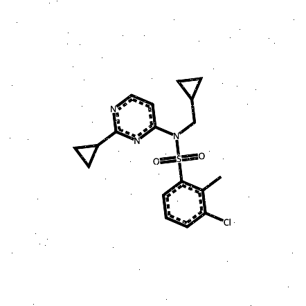 Cc1c(Cl)cccc1S(=O)(=O)N(CC1CC1)c1ccnc(C2CC2)n1